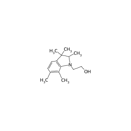 Cc1ccc2c(c1C)N(CCO)C(C)C2(C)C